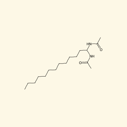 CCCCCCCCCCCCC(NC(C)=O)NC(C)=O